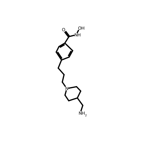 NCC1CCN(CCCc2ccc(C(=O)NO)cc2)CC1